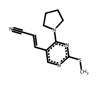 CSc1ncc(C=CC#N)c(N2CCCC2)n1